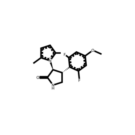 COc1cc(F)c([C@@H]2CNC(=O)[C@H]2n2c(C)ccc2C)c(F)c1